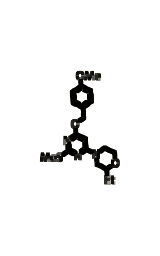 CCC1CN(c2cc(OCc3ccc(OC)cc3)nc(SC)n2)CCO1